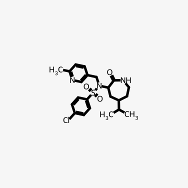 Cc1ccc(CN(C2CC(C(C)C)CCNC2=O)S(=O)(=O)c2ccc(Cl)cc2)cn1